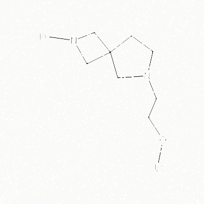 CCOCCN1CCC2(C1)CN(C(C)C)C2